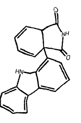 O=C1NC(=O)C2(c3cccc4c3[nH]c3ccccc34)C=CC=CC12